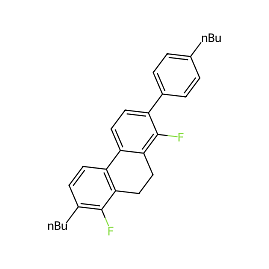 CCCCc1ccc(-c2ccc3c(c2F)CCc2c-3ccc(CCCC)c2F)cc1